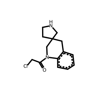 O=C(CCl)N1CC2(CCNC2)Cc2ccccc21